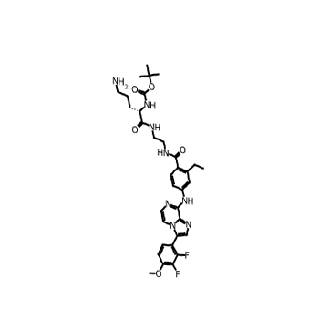 CCc1cc(Nc2nccn3c(-c4ccc(OC)c(F)c4F)cnc23)ccc1C(=O)NCCNC(=O)[C@H](CCCN)NC(=O)OC(C)(C)C